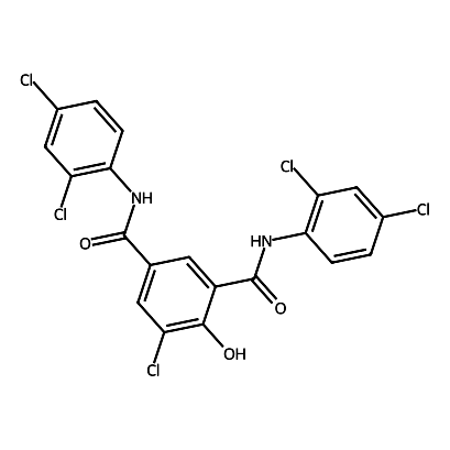 O=C(Nc1ccc(Cl)cc1Cl)c1cc(Cl)c(O)c(C(=O)Nc2ccc(Cl)cc2Cl)c1